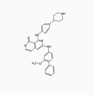 COc1cc(Nc2cc3c(c(Nc4ccc(C5CCNCC5)cc4)n2)C(=O)[N]C=C3)ccc1-c1ccccc1